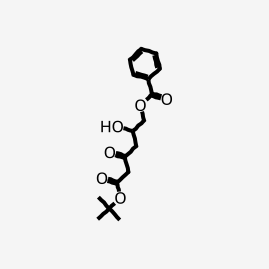 CC(C)(C)OC(=O)CC(=O)CC(O)COC(=O)c1ccccc1